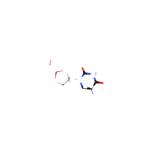 Cc1cn([C@H]2CO[C@H](CO)O2)c(=O)[nH]c1=O